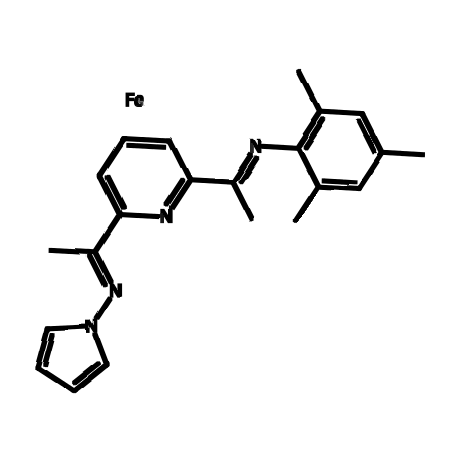 CC(=Nc1c(C)cc(C)cc1C)c1cccc(C(C)=Nn2cccc2)n1.[Fe]